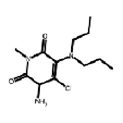 CCCN(CCC)C1=C(Cl)C(N)C(=O)N(C)C1=O